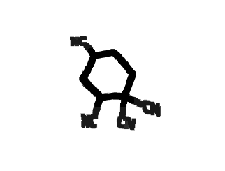 N#CC1CCC(C#N)(C#N)C(C#N)C1